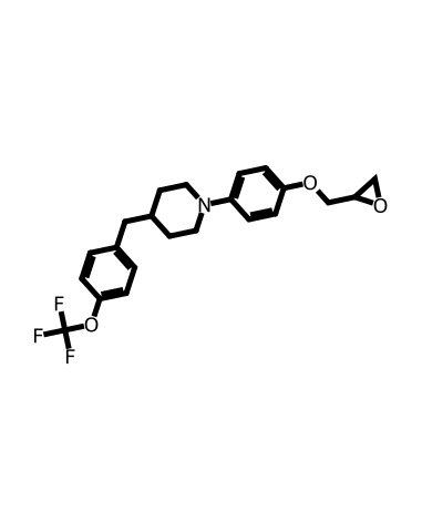 FC(F)(F)Oc1ccc(CC2CCN(c3ccc(OCC4CO4)cc3)CC2)cc1